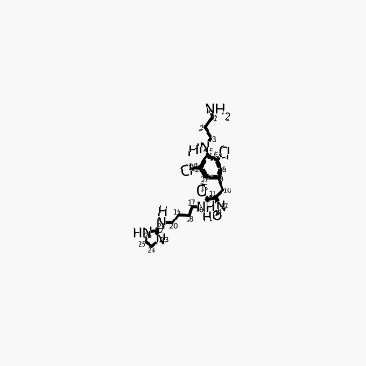 NCCCNc1c(Cl)cc(C/C(=N/O)C(=O)NCCCCNC2=NCCN2)cc1Cl